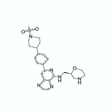 CS(=O)(=O)N1CCC(c2ccc(-c3cc4nccnc4c(NC[C@@H]4CNCCO4)n3)cc2)CC1